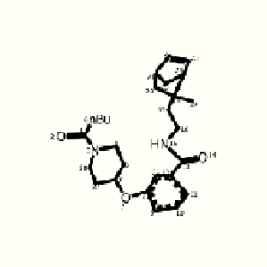 CCCCC(=O)N1CCC(Oc2cccc(C(=O)NCCC3(C)CC4C=CC3C4)c2)CC1